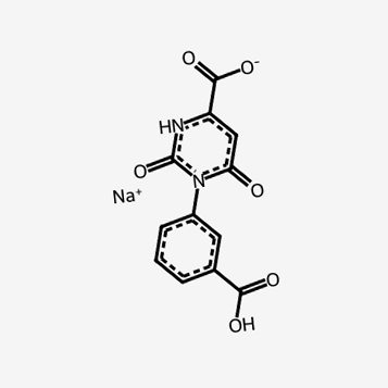 O=C(O)c1cccc(-n2c(=O)cc(C(=O)[O-])[nH]c2=O)c1.[Na+]